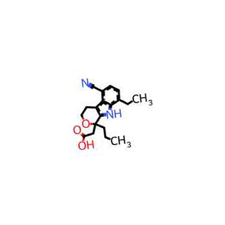 CCCC1(CC(=O)O)OCCc2c1[nH]c1c(CC)ccc(C#N)c21